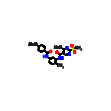 CNc1nc(S(C)(=O)=O)ncc1C(=O)Nc1cc(NC(=O)c2ccc(OC)cc2)ccc1C